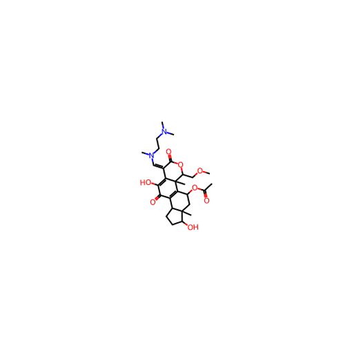 COCC1OC(=O)C(=CN(C)CCN(C)C)C2=C(O)C(=O)C3=C(C(OC(C)=O)CC4(C)C(O)CCC34)C21C